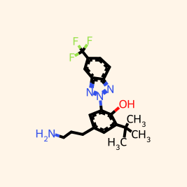 CC(C)(C)c1cc(CCCN)cc(-n2nc3ccc(C(F)(F)F)cc3n2)c1O